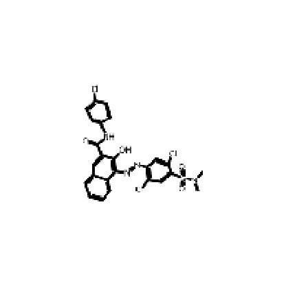 CN(C)S(=O)(=O)c1cc(Cl)c(/N=N/c2c(O)c(C(=O)Nc3ccc(Cl)cc3)cc3ccccc23)cc1Cl